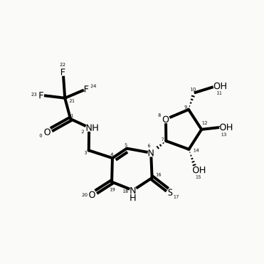 O=C(NCc1cn([C@@H]2O[C@H](CO)C(O)[C@@H]2O)c(=S)[nH]c1=O)C(F)(F)F